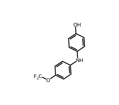 Oc1ccc(Nc2ccc(OC(F)(F)F)cc2)cc1